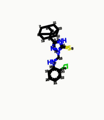 S=c1[nH]c(C23CC4CC(CC(C4)C2)C3)nn1CNc1ccccc1Cl